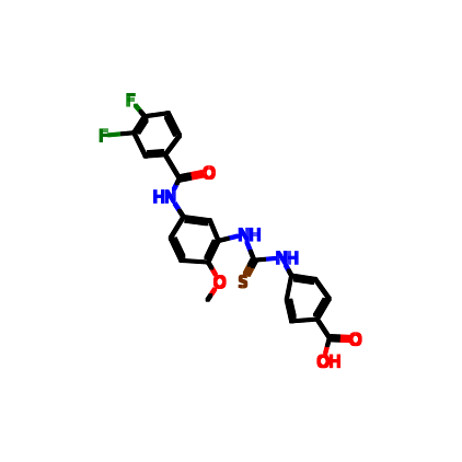 COc1ccc(NC(=O)c2ccc(F)c(F)c2)cc1NC(=S)Nc1ccc(C(=O)O)cc1